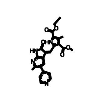 CCOC(=O)c1[nH]c(C=C2C(=O)Nc3nc(C)c(-c4ccncc4)cc32)c(C(=O)OC)c1C